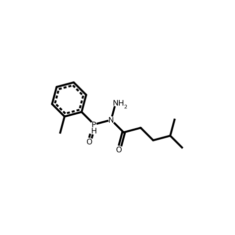 Cc1ccccc1[PH](=O)N(N)C(=O)CCC(C)C